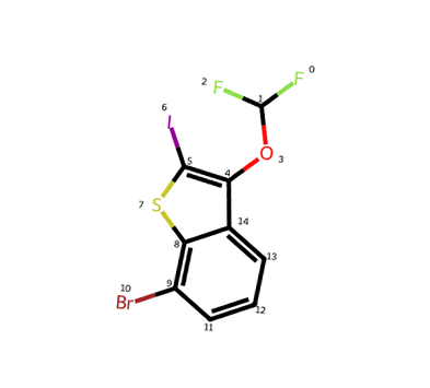 FC(F)Oc1c(I)sc2c(Br)cccc12